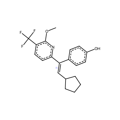 COc1nc(/C(=C/C2CCCC2)c2ccc(O)cc2)ccc1C(F)(F)F